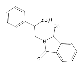 O=C(O)C(CN1C(=O)c2ccccc2C1O)c1ccccc1